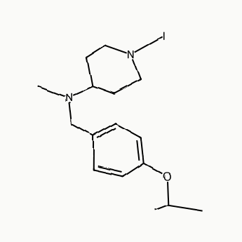 CC(C)Oc1ccc(CN(C)C2CCN(I)CC2)cc1